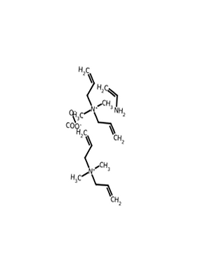 C=CC[N+](C)(C)CC=C.C=CC[N+](C)(C)CC=C.C=CN.O=C([O-])[O-]